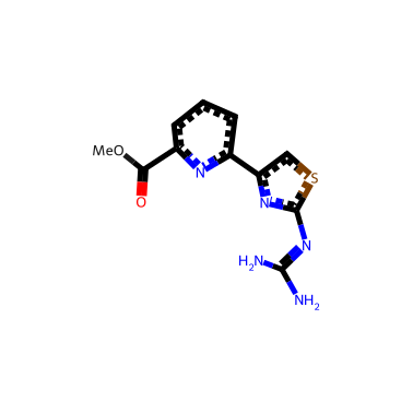 COC(=O)c1cccc(-c2csc(N=C(N)N)n2)n1